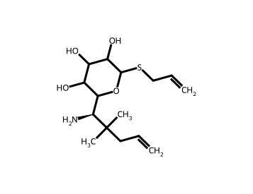 C=CCSC1OC([C@H](N)C(C)(C)CC=C)C(O)C(O)C1O